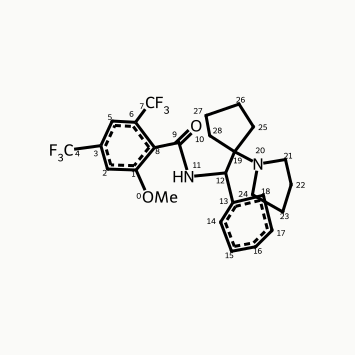 COc1cc(C(F)(F)F)cc(C(F)(F)F)c1C(=O)NC(c1ccccc1)C1(N2CCCC2)CCCC1